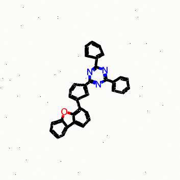 c1ccc(-c2nc(-c3ccccc3)nc(-c3cccc(-c4cccc5c4oc4ccccc45)c3)n2)cc1